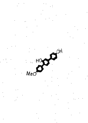 COc1ccc(-c2ccc(-c3ccc(O)cc3)cc2O)cc1